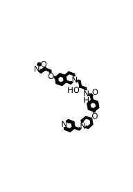 O=C(NC[C@H](O)CN1CCc2cc(OCc3cnco3)ccc2C1)c1ccc(OC2CCN(Cc3ccncc3)CC2)cc1